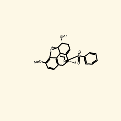 CN[C@@H]1CC=C2[C@H]3Cc4ccc(OC)c5c4[C@@]2(CCN3S(=O)(=O)c2ccccc2)[C@H]1O5